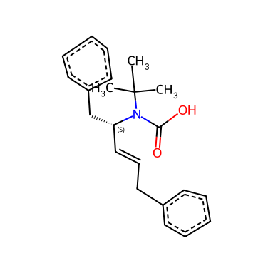 CC(C)(C)N(C(=O)O)[C@H](C=CCc1ccccc1)Cc1ccccc1